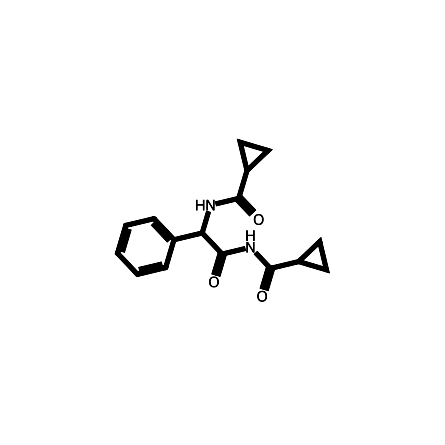 O=C(NC(=O)C(NC(=O)C1CC1)c1ccccc1)C1CC1